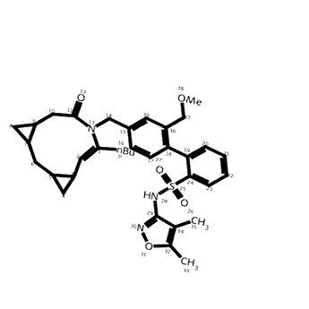 CCCC/C1=C\C2CC2CC2CC2CC(=O)N1Cc1ccc(-c2ccccc2S(=O)(=O)Nc2noc(C)c2C)c(COC)c1